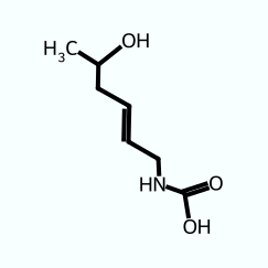 CC(O)CC=CCNC(=O)O